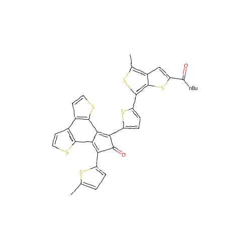 CCCCC(=O)c1cc2c(C)sc(-c3ccc(C4=c5c(c6sccc6c6ccsc56)=C(c5ccc(C)s5)C4=O)s3)c2s1